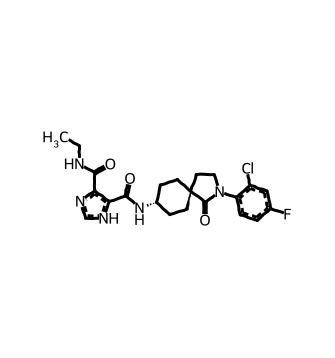 CCNC(=O)c1nc[nH]c1C(=O)N[C@H]1CC[C@]2(CCN(c3ccc(F)cc3Cl)C2=O)CC1